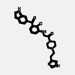 O=C(c1ccc2cc[nH]c2c1)c1cccc(NCC(=O)N2CCN(CCc3c[nH]cn3)CC2)c1Cl